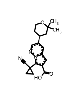 CC1(C)C[C@@H](c2cnn3c(C4(C#N)CC4)c(C(=O)O)cc3c2)CCO1